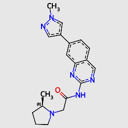 C[C@@H]1CCCN1CC(=O)Nc1ncc2ccc(-c3cnn(C)c3)cc2n1